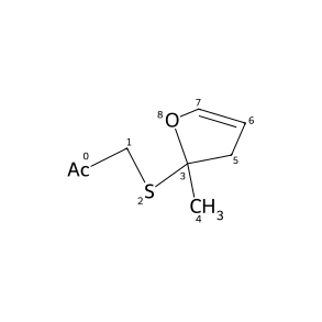 CC(=O)CSC1(C)CC=CO1